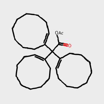 CC(=O)OC(=O)C(C1=CCCCCCCCC1)(C1=CCCCCCCCC1)C1=CCCCCCCCC1